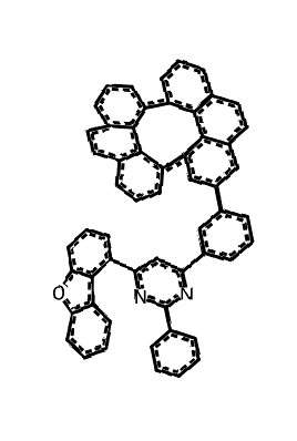 c1ccc(-c2nc(-c3cccc(-c4cc5ccc6cccc7c8cccc9ccc%10cccc(c(c4)c5c67)c%10c98)c3)cc(-c3cccc4oc5ccccc5c34)n2)cc1